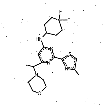 Cc1csc(-c2nc(NC3CCC(F)(F)CC3)cc(C(C)N3CCOCC3)n2)n1